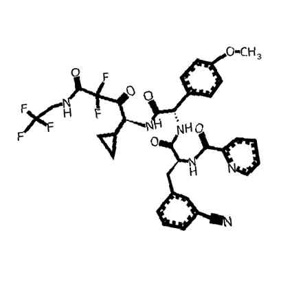 COc1ccc([C@H](NC(=O)[C@H](Cc2cccc(C#N)c2)NC(=O)c2ccccn2)C(=O)N[C@H](C(=O)C(F)(F)C(=O)NCC(F)(F)F)C2CC2)cc1